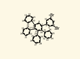 Brc1cc(Br)cc(-c2cc(-c3ccccc3)c(-c3ccccc3)c(-c3ccccc3)c2-c2ccccc2)c1